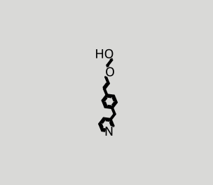 OCCOCC=Cc1ccc(Cc2cccnc2)cc1